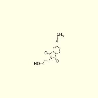 CC#Cc1ccc2c(c1)C(=O)N(CCCO)C2=O